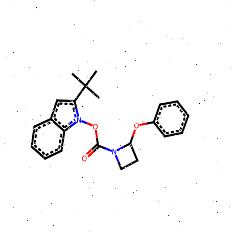 CC(C)(C)c1cc2ccccc2n1OC(=O)N1CCC1Oc1ccccc1